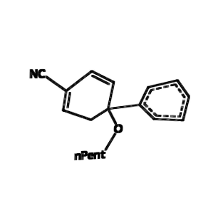 CCCCCOC1(c2ccccc2)C=CC(C#N)=CC1